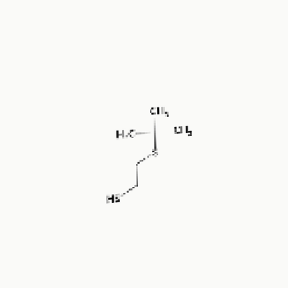 CC(C)(C)SCCS